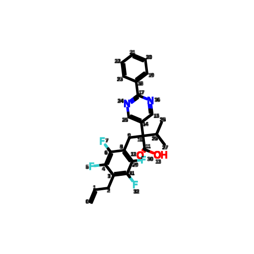 C=CCc1c(F)c(F)c(CC(C(=O)O)(c2cnc(-c3ccccc3)nc2)C(C)C)c(F)c1F